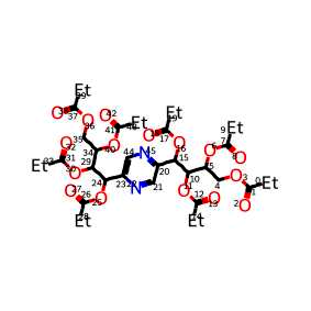 CCC(=O)OCC(OC(=O)CC)C(OC(=O)CC)C(OC(=O)CC)c1cnc(C(OC(=O)CC)C(OC(=O)CC)C(COC(=O)CC)OC(=O)CC)cn1